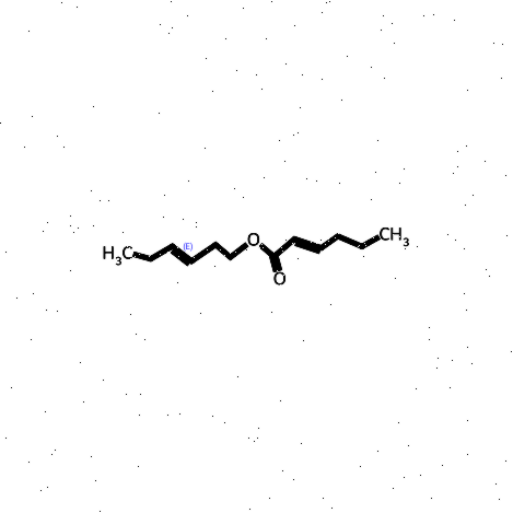 CC/C=C/CCOC(=O)C=CCCC